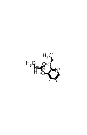 CCOc1ncccc1OC(=O)NC